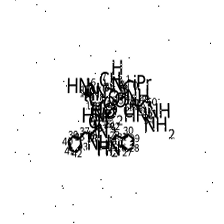 CC(C)C[C@H](NC(=O)[C@H](C)NC(=O)[C@H](Cc1c[nH]cn1)NC(=O)[C@H](Cc1c[nH]c2ccccc12)NC(=O)[C@@H](N)Cc1ccccc1)C(=O)N[C@@H](CCCNC(=N)N)C(=O)O